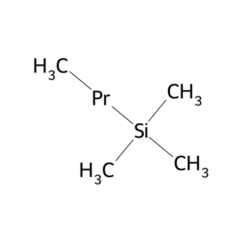 [CH3][Pr][Si](C)(C)C